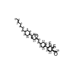 C/C=C/CCCCC1CCC(C2CCC(CCC3CC=C(c4ccc(C5CO5)c(F)c4F)CC3)OC2)CC1